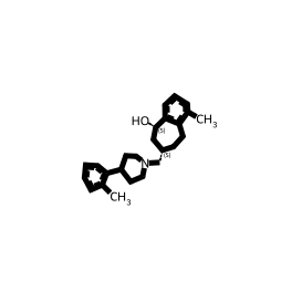 Cc1ccccc1C1CCN(C[C@H]2CCc3c(C)cccc3[C@@H](O)C2)CC1